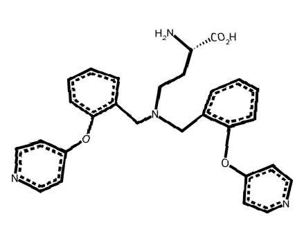 N[C@@H](CCN(Cc1ccccc1Oc1ccncc1)Cc1ccccc1Oc1ccncc1)C(=O)O